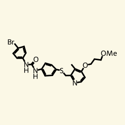 COCCCOc1ccnc(CSc2ccc(NC(=O)Nc3ccc(Br)cc3)cc2)c1C